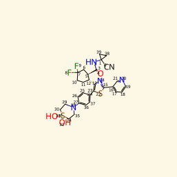 N#CC1(NC(=O)[C@@H]2CC(F)(F)CC[C@H]2c2nc(-c3cccnc3)sc2-c2ccc(N3CCS(O)(O)CC3)cc2)CC1